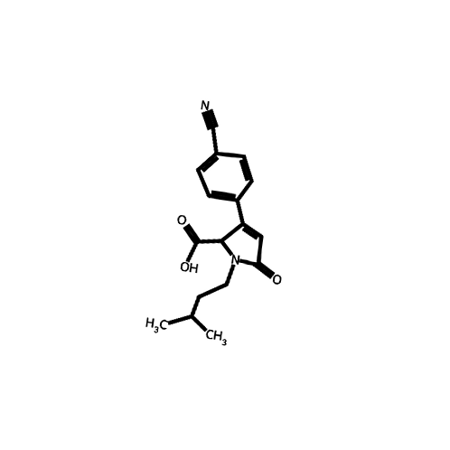 CC(C)CCN1C(=O)C=C(c2ccc(C#N)cc2)C1C(=O)O